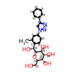 Cc1cc(-n2cc(-c3ccccc3)nn2)ccc1[C@@H](O)[C@H]1OC(CO)[C@@H](O)[C@H](O)C1O